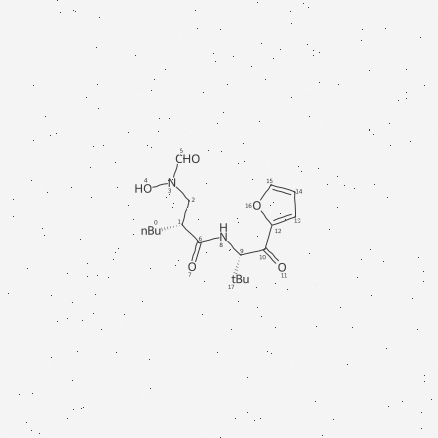 CCCC[C@H](CN(O)C=O)C(=O)N[C@H](C(=O)c1ccco1)C(C)(C)C